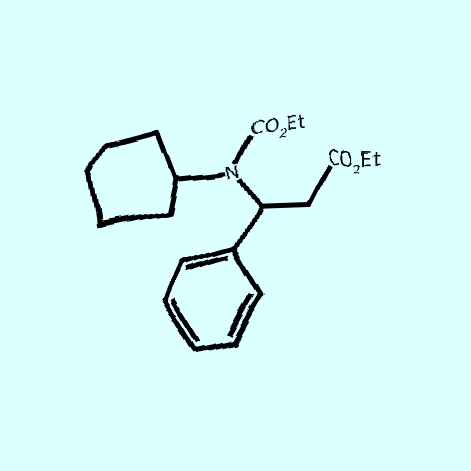 CCOC(=O)CC(c1ccccc1)N(C(=O)OCC)C1CCCCC1